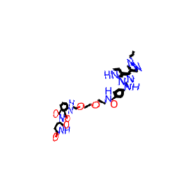 CCCn1cc(-c2nc(Nc3ccc(C(=O)NCCOCCOCCNc4cccc5c4C(=O)N(C4CCC(=O)NC4=O)C5=O)cc3)nc3[nH]ccc23)cn1